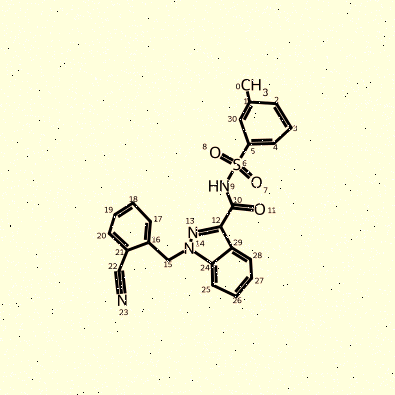 Cc1cccc(S(=O)(=O)NC(=O)c2nn(Cc3ccccc3C#N)c3ccccc23)c1